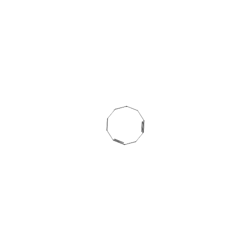 [CH]1CCC=CCC=CCC1